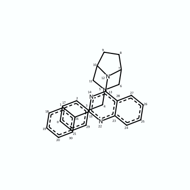 c1ccc(CN2CC3CCC(C2)N3c2nc(-c3ccccc3)nc3ccccc23)cc1